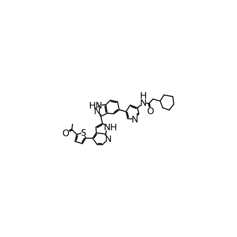 CC(=O)c1ccc(-c2ccnc3[nH]c(-c4n[nH]c5ccc(-c6cncc(NC(=O)CC7CCCCC7)c6)cc45)cc23)s1